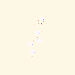 CC(=O)N[C@@H](C=O)[C@@H](OC(C)C(=O)NCC(=O)NC(CCC(=O)NCC(=O)O)C(N)=O)[C@H](O)[C@H](O)CO